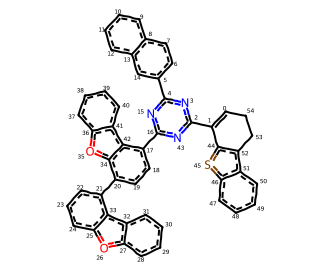 C1=C(c2nc(-c3ccc4ccccc4c3)nc(-c3ccc(-c4cccc5oc6ccccc6c45)c4oc5ccccc5c34)n2)c2sc3ccccc3c2CC1